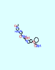 CCC(=O)N1CCC(Nc2cc(C(=O)NC[C@H](O)CN3CCc4cc(OCC5(C6CCCCCCCC6)CNCO5)ccc4C3)ccn2)CC1